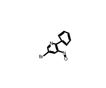 O=Nc1cc(Br)cnc1-c1ccccc1